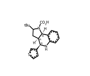 CC(C)(C)C1C[C@@H]2[C@H](c3ccsc3)Nc3ccccc3[C@@H]2N1C(=O)O